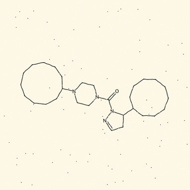 O=C(N1CCN(C2CCCCCCCCCC2)CC1)N1N=CCC1C1CCCCCCCCC1